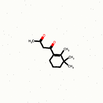 CC(=O)CC(=O)C1=C(C)C(C)(C)CCC1